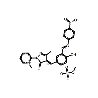 CC1=NN(c2cccc[n+]2C)C(=O)/C1=C/c1ccc(O)c(/N=N/c2ccc([N+](=O)[O-])cc2)c1.COS(=O)(=O)[O-]